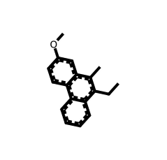 CCc1c(C)c2cc(OC)ccc2c2ccccc12